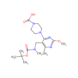 COc1nc(C)c(CN(C)C(=O)OC(C)(C)C)c(N2CCN(C(=O)O)CC2)n1